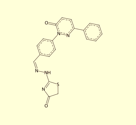 O=C1CSC(N/N=C\c2ccc(-n3nc(-c4ccccc4)ccc3=O)cc2)=N1